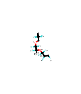 CC(F)(F)COC(F)(F)C(F)(OC(F)(F)C(F)CF)C(F)(F)F